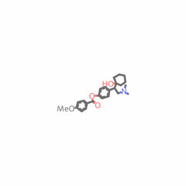 COc1ccc(C(=O)Oc2ccc(C(CN(C)C)C3(O)CCCCC3)cc2)cc1